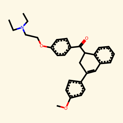 CCN(CC)CCOc1ccc(C(=O)C2CC(c3ccc(OC)cc3)=Cc3ccccc32)cc1